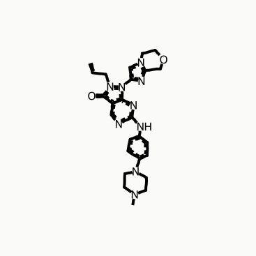 C=CCn1c(=O)c2cnc(Nc3ccc(N4CCN(C)CC4)cc3)nc2n1-c1cn2c(n1)COCC2